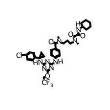 CN(CCCN(C)C(=O)c1ccc(Nc2nc(NC3(c4ccc(Cl)cc4)CC3)nc(OCC(F)(F)F)n2)cc1)C(=O)C(=O)NC1CCCCC1